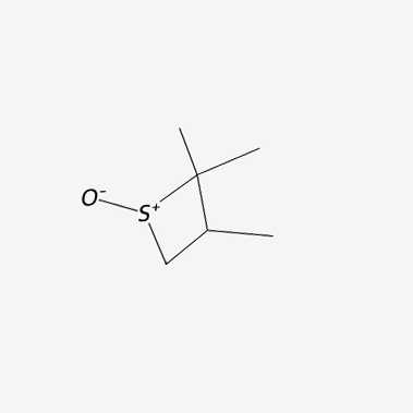 CC1C[S+]([O-])C1(C)C